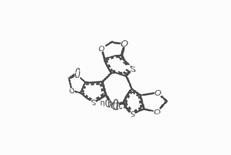 CCCCCCCCc1sc2c(c1-c1sc3c(c1-c1c(CCCCCCCC)sc4c1OCO4)OCO3)OCO2